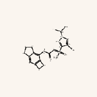 NS(=O)(=NC(=O)Nc1c2c(cc3c1CC3)CCC2)c1nn(C(F)F)cc1F